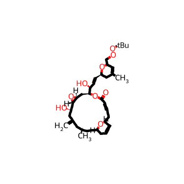 C=C1C[C@H](C)C[C@@H]2CC=C[C@@H](C/C=C\C(=O)O[C@H]([C@@H](O)/C=C/[C@@H]3CC(C)=CC(COOC(C)(C)C)O3)C[C@@H]3O[C@H]3[C@@H](O)C1)O2